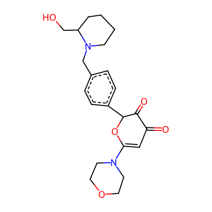 O=C1C=C(N2CCOCC2)OC(c2ccc(CN3CCCCC3CO)cc2)C1=O